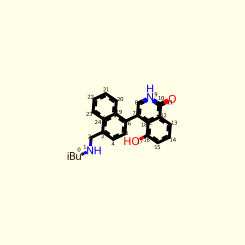 CCC(C)NCc1ccc(-c2c[nH]c(=O)c3cccc(O)c23)c2ccccc12